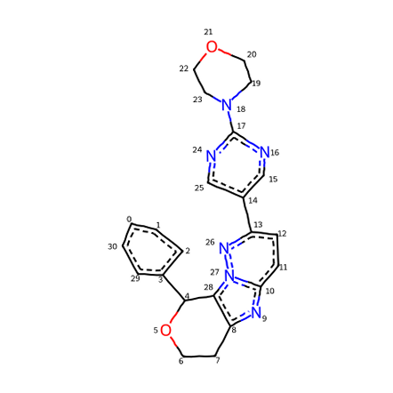 c1ccc(C2OCCc3nc4ccc(-c5cnc(N6CCOCC6)nc5)nn4c32)cc1